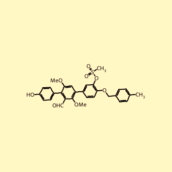 COc1cc(-c2ccc(OCc3ccc(C)cc3)c(OS(C)(=O)=O)c2)c(OC)c(C=O)c1-c1ccc(O)cc1